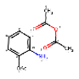 CC(=O)OC(C)=O.CC(=O)Oc1ccccc1N